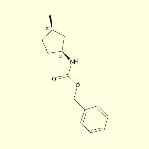 C[C@@H]1CC[C@H](NC(=O)OCc2ccccc2)C1